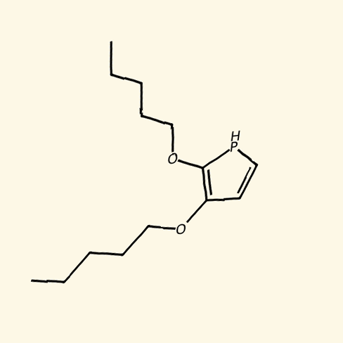 CCCCCOc1cc[pH]c1OCCCCC